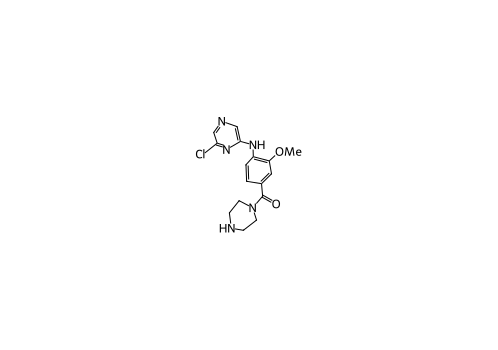 COc1cc(C(=O)N2CCNCC2)ccc1Nc1cncc(Cl)n1